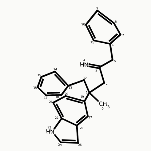 CC(CC(=N)Cc1ccccc1)(Cc1ccccc1)c1ccc2[nH]ccc2c1